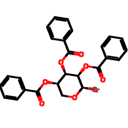 O=C(O[C@@H]1[C@H](OC(=O)c2ccccc2)[C@H](OC(=O)c2ccccc2)CO[C@@H]1Br)c1ccccc1